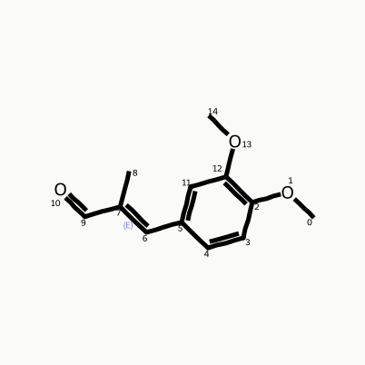 COc1ccc(/C=C(\C)C=O)cc1OC